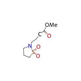 COC(=O)CCCN1CCCS1(=O)=O